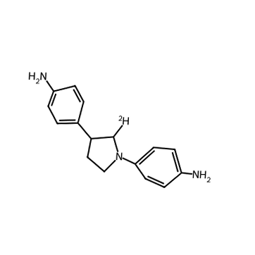 [2H]C1C(c2ccc(N)cc2)CCN1c1ccc(N)cc1